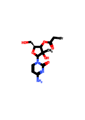 CC(C)CC(=O)OC1[C@@H](CO)OC(n2ccc(N)nc2=O)C1(C)O